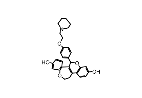 Oc1ccc2c(c1)OC(c1ccc(OCCN3CCCCC3)cc1)C1=C2CCOc2cc(O)ccc21